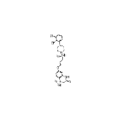 [2H]C1([2H])CC(=O)Nc2cc(OCCCC([2H])([2H])N3CCN(c4cccc(Cl)c4Cl)CC3)ccc21